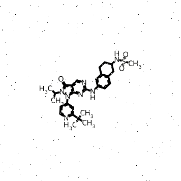 CC(C)n1c(=O)c2cnc(Nc3ccc4c(c3)CCC(NS(C)(=O)=O)C4)nc2n1-c1ccnc(C(C)(C)C)c1